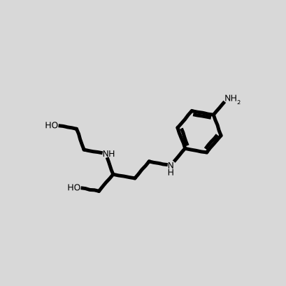 Nc1ccc(NCCC(CO)NCCO)cc1